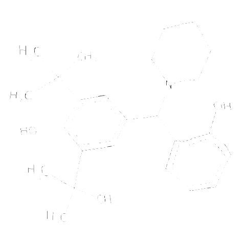 CC(C)(C)c1cc(C(c2ccccc2O)N2CCCCC2)cc(C(C)(C)C)c1O